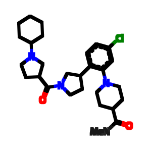 CNC(=O)C1CCN(c2cc(Cl)ccc2C2CCN(C(=O)C3CCN(C4CCCCC4)C3)C2)CC1